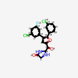 O=C1CNC(C(=O)c2cc(-c3cc(F)cc(Cl)c3)c(-c3cccc(Cl)c3)o2)N1